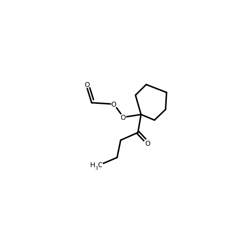 CCCC(=O)C1(OOC=O)CCCCC1